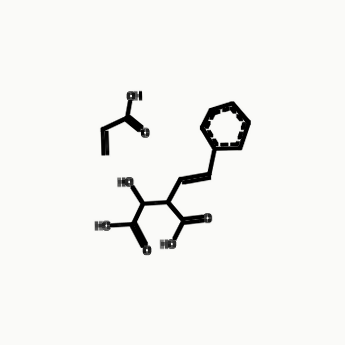 C=CC(=O)O.O=C(O)C(O)C(C=Cc1ccccc1)C(=O)O